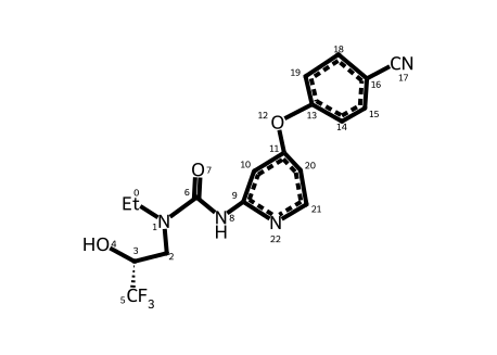 CCN(C[C@@H](O)C(F)(F)F)C(=O)Nc1cc(Oc2ccc(C#N)cc2)ccn1